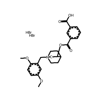 Br.Br.COc1ccc(OC)c(C[N+]23CCC(CC2)C(OC(=O)c2cccc(C(=O)O)c2)C3)c1